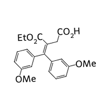 CCOC(=O)C(CC(=O)O)=C(c1cccc(OC)c1)c1cccc(OC)c1